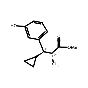 COC(=O)[C@H](C)[C@H](c1cccc(O)c1)C1CC1